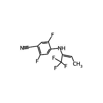 CC=C(Nc1cc(F)c(C#N)cc1F)C(F)(F)F